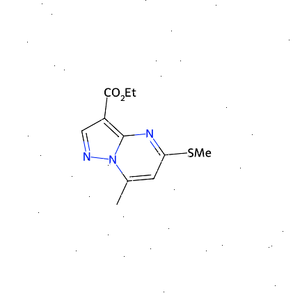 CCOC(=O)c1cnn2c(C)cc(SC)nc12